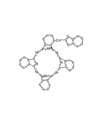 c1ccc2c(c1)-c1nc-2nc2[nH]c(nc3nc(nc4[nH]c(n1)c1ccccc41)-c1ccccc1-3)c1[c]([Cu][c]3cc4ccccc4s3)cccc21